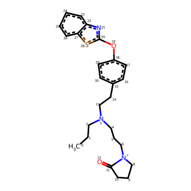 CCCN(CCCN1CCCC1=O)CCc1ccc(Oc2nc3ccccc3s2)cc1